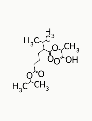 CC(C)OC(=O)CCCC(C(=O)OC(C)C(=O)O)C(C)C